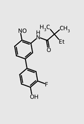 CCC(C)(C)C(=O)Nc1cc(-c2ccc(O)c(F)c2)ccc1N=O